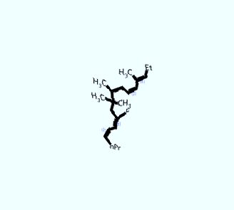 CC/C=C(C)/C=C\CC(C)C(C)(C)C/C(F)=C\C=C/CCC